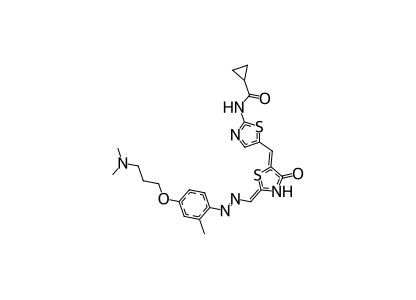 Cc1cc(OCCCN(C)C)ccc1N=N/C=c1/[nH]c(=O)/c(=C/c2cnc(NC(=O)C3CC3)s2)s1